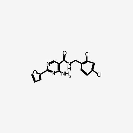 Nc1nc(-c2ccco2)ncc1C(=O)NCc1ccc(Cl)cc1Cl